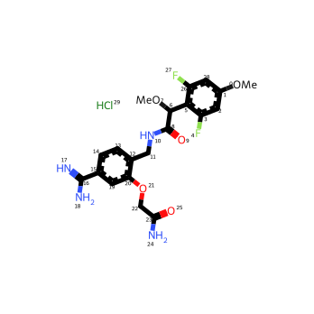 COc1cc(F)c(C(OC)C(=O)NCc2ccc(C(=N)N)cc2OCC(N)=O)c(F)c1.Cl